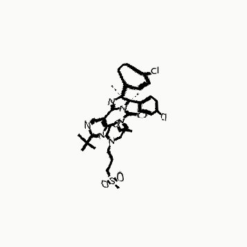 CCOc1nc(C(C)(C)C)ncc1C1=N[C@@](C)(C2C=CC(Cl)=CC2)[C@@](C)(c2ccc(Cl)cc2)N1C(=O)N1CCN(CCCS(C)(=O)=O)CC1